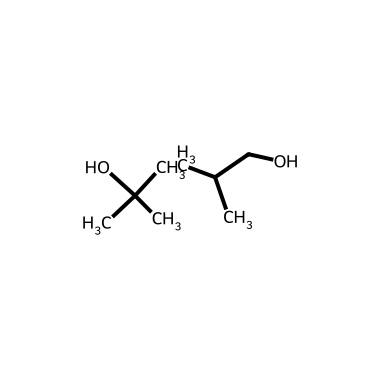 CC(C)(C)O.CC(C)CO